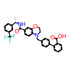 C[C@H](NC(=O)c1ccc2c(c1)OCCN2Cc1ccc(-c2ccccc2C(=O)O)cc1)c1cccc(C(F)(F)F)c1